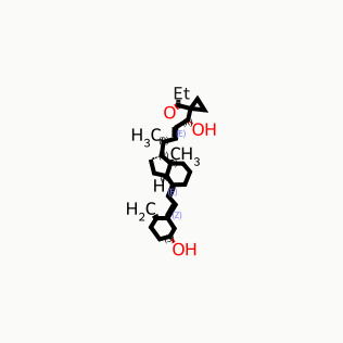 C=C1CC[C@H](O)C/C1=C/C=C1\CCC[C@]2(C)[C@@H]([C@H](C)/C=C/[C@@H](O)C3(C(=O)CC)CC3)CC[C@@H]12